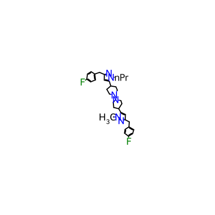 CCCn1nc(Cc2ccc(F)cc2)cc1C1CCN(N2CCC(c3cc(Cc4ccc(F)cc4)nn3C)CC2)CC1